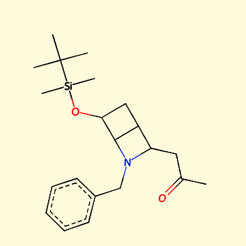 CC(=O)CC1C2CC(O[Si](C)(C)C(C)(C)C)C2N1Cc1ccccc1